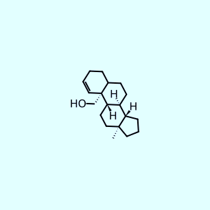 C[C@@]12CCC[C@H]1[C@@H]1CCC3CCC=C[C@]3(CO)[C@H]1CC2